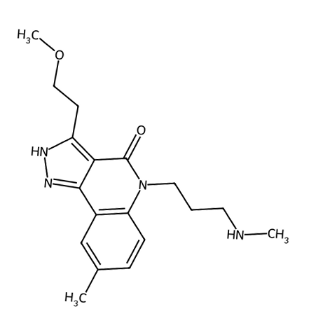 CNCCCn1c(=O)c2c(CCOC)[nH]nc2c2cc(C)ccc21